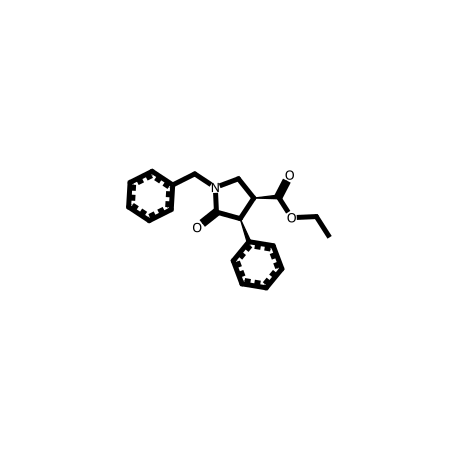 CCOC(=O)[C@@H]1CN(Cc2ccccc2)C(=O)[C@@H]1c1ccccc1